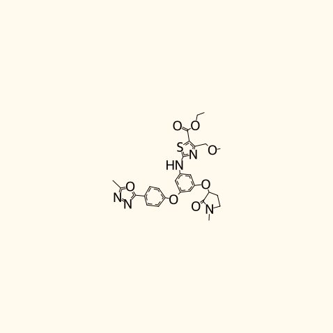 CCOC(=O)c1sc(Nc2cc(Oc3ccc(-c4nnc(C)o4)cc3)cc(OC3CCN(C)C3=O)c2)nc1COC